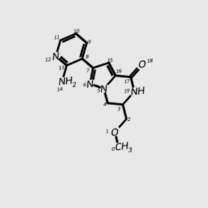 COCC1Cn2nc(-c3cccnc3N)cc2C(=O)N1